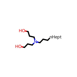 CCCCCCCCCCN(CCCO)CCCO